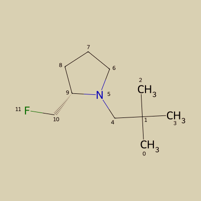 CC(C)(C)CN1CCC[C@H]1CF